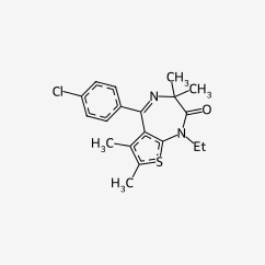 CCN1C(=O)C(C)(C)N=C(c2ccc(Cl)cc2)c2c1sc(C)c2C